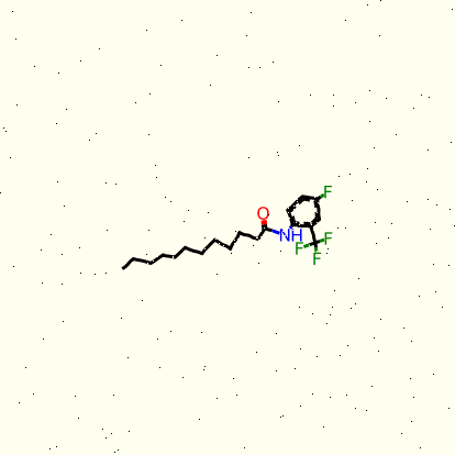 CCCCCCCCCCCC(=O)Nc1ccc(F)cc1C(F)(F)F